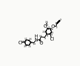 C#CCOc1cc(Cl)c(CCC(=O)NCc2ccc(Cl)cc2)cc1OC